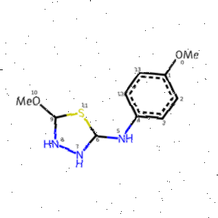 COc1ccc(NC2NNC(OC)S2)cc1